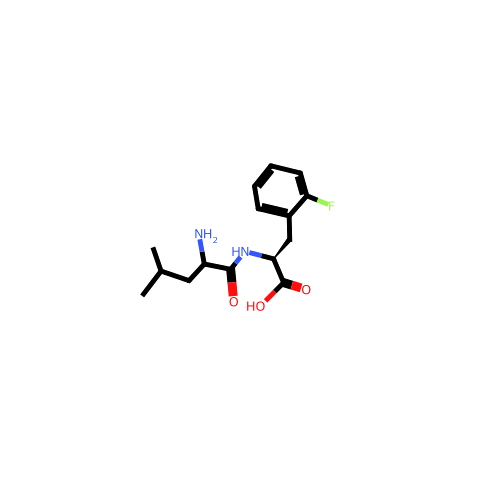 CC(C)CC(N)C(=O)N[C@@H](Cc1ccccc1F)C(=O)O